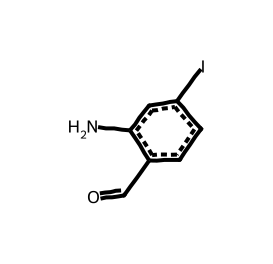 Nc1cc(I)ccc1C=O